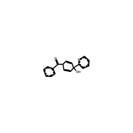 O=C(c1ccccc1)C1C=CC(O)(c2ccccn2)C=C1